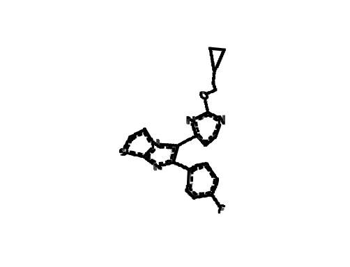 Fc1ccc(-c2nc3sccn3c2-c2ccnc(OCC3CC3)n2)cc1